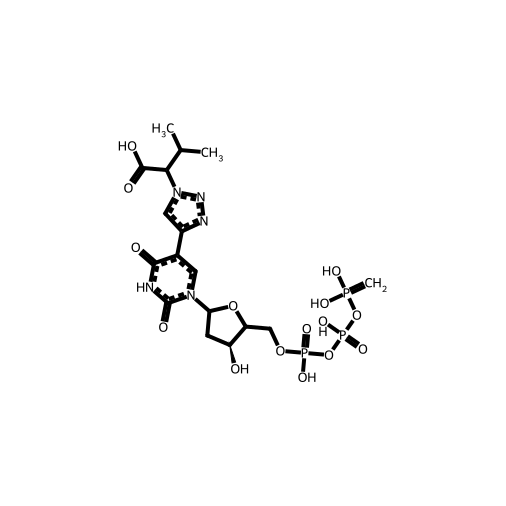 C=P(O)(O)OP(=O)(O)OP(=O)(O)OCC1OC(n2cc(-c3cn(C(C(=O)O)C(C)C)nn3)c(=O)[nH]c2=O)C[C@@H]1O